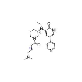 CCN(c1cc(-c2ccncc2)c[nH]c1=O)[C@@H]1CCCN(C(=O)/C=C/CN(C)C)C1